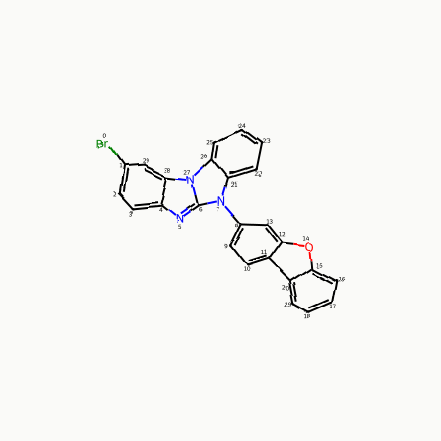 Brc1ccc2nc3n(-c4ccc5c(c4)oc4ccccc45)c4ccccc4n3c2c1